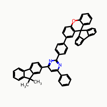 CC1(C)c2ccccc2-c2ccc(-c3cc(-c4ccccc4)nc(-c4ccc(-c5ccc6c(c5)C5(c7ccccc7O6)c6ccccc6-c6ccccc65)cc4)n3)cc21